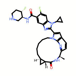 C[C@H]1NC(=O)[C@@H]2C[C@H]2CCCCCn2c(-c3nc4cc(C(=O)N[C@H]5CNCC[C@@H]5F)c(F)cc4n3C3CC3)cc3ccc1nc32